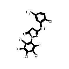 Nc1ccc(Cl)c(NC2=NN(c3c(Cl)c(Cl)c(Cl)c(Cl)c3Cl)C(=O)C2)c1